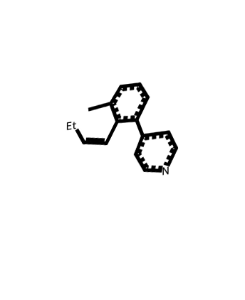 CC/C=C\c1c(C)cccc1-c1ccncc1